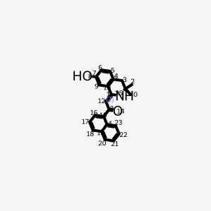 CC1(C)Cc2ccc(O)cc2/C(=C/C(=O)c2cccc3ccccc23)N1